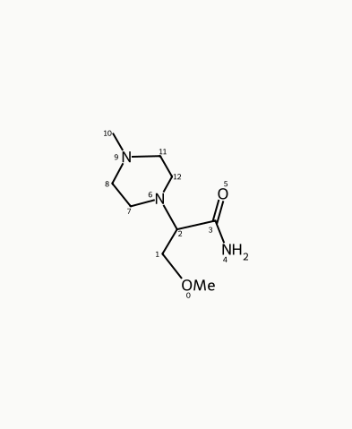 COCC(C(N)=O)N1CCN(C)CC1